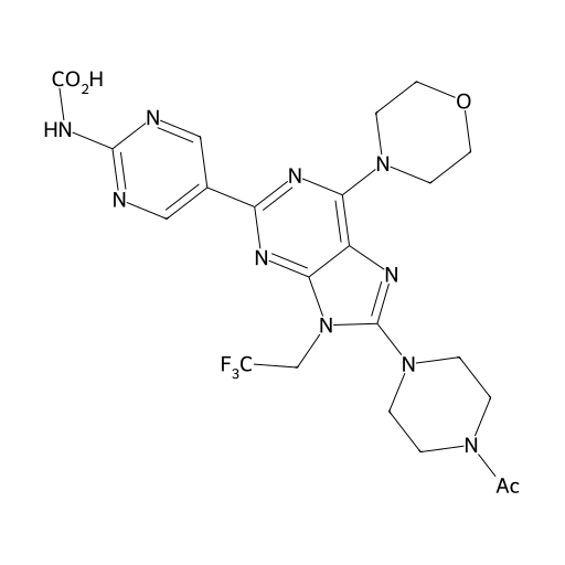 CC(=O)N1CCN(c2nc3c(N4CCOCC4)nc(-c4cnc(NC(=O)O)nc4)nc3n2CC(F)(F)F)CC1